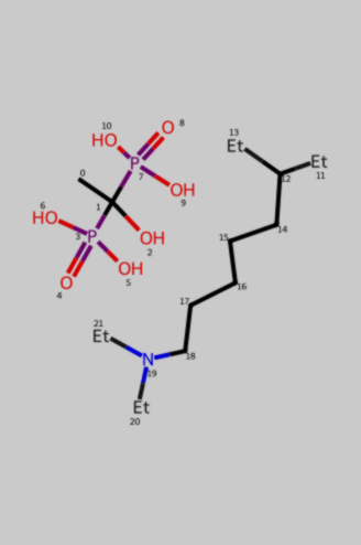 CC(O)(P(=O)(O)O)P(=O)(O)O.CCC(CC)CCCCCN(CC)CC